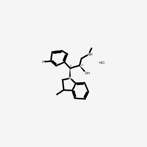 CNC[C@@H](O)[C@H](c1cccc(F)c1)N1CC(C)c2ccccc21.Cl